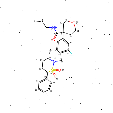 CCCNC(=O)C1(c2ccc(CN3[C@@H](C)CC[C@H](c4ccccc4)S3(=O)=O)c(F)c2)CCOCC1